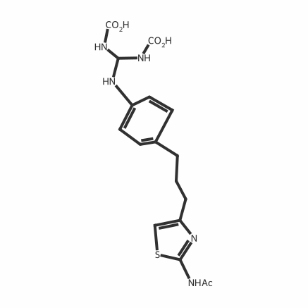 CC(=O)Nc1nc(CCCc2ccc(NC(NC(=O)O)NC(=O)O)cc2)cs1